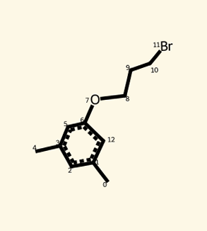 Cc1cc(C)cc(OCCCBr)c1